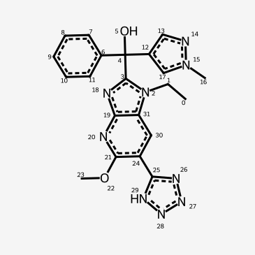 CCn1c(C(O)(c2ccccc2)c2cnn(C)c2)nc2nc(OC)c(-c3nnn[nH]3)cc21